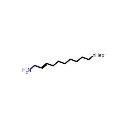 CCCCCCCCCCCCCC=CCN